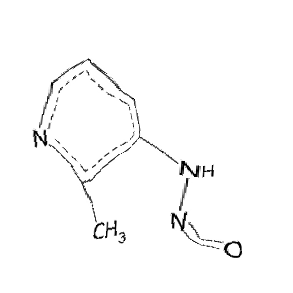 Cc1ncccc1NN=O